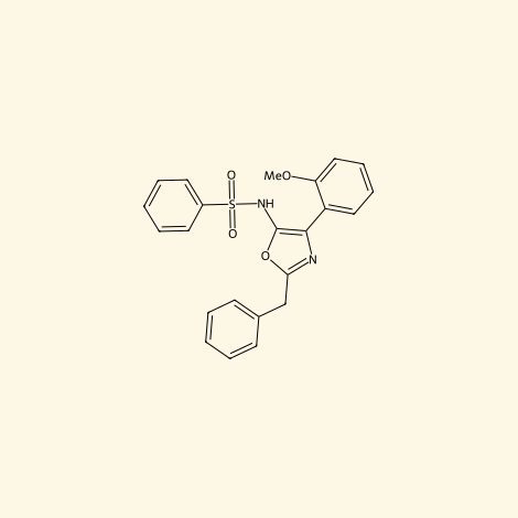 COc1ccccc1-c1nc(Cc2ccccc2)oc1NS(=O)(=O)c1ccccc1